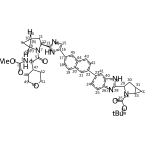 COC(=O)N[C@H](C(=O)N1[C@@H]2C[C@@H]2C[C@H]1c1ncc(-c2ccc3cc(-c4ccc5nc(C6CC7CC7N6C(=O)OC(C)(C)C)[nH]c5c4)ccc3c2)[nH]1)C1CCOCC1